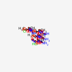 CC(CC(=O)NCCc1c[nH]cn1)c1cccc2c(-c3ccc(CS(C)(=O)=O)c(F)c3)c(C(=O)O)[nH]c12.CC(NC(=O)Nc1ccc(CN)cc1)c1cccc2c(-c3ccc(CS(C)(=O)=O)c(F)c3)c(C(=O)O)[nH]c12.CC(c1cccc2c(-c3ccc(CN4CCOCC4)nc3)c(C(=O)O)[nH]c12)N(C=O)c1ccc(CN)cc1.CC(c1cccc2c(-c3ccc(CS(C)(=O)=O)c(Cl)c3)c(C(=O)O)[nH]c12)n1cc(CCCN)nn1.Cl